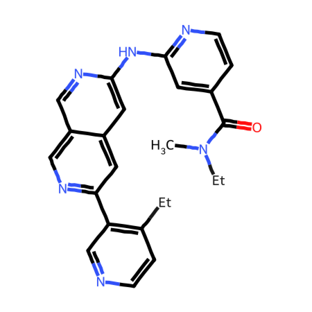 CCc1ccncc1-c1cc2cc(Nc3cc(C(=O)N(C)CC)ccn3)ncc2cn1